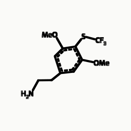 COc1cc(CCN)cc(OC)c1SC(F)(F)F